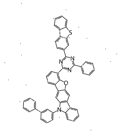 c1ccc(-c2cccc(-n3c4ccccc4c4cc5oc6c(-c7nc(-c8ccccc8)nc(-c8ccc9c(c8)sc8ccccc89)n7)cccc6c5cc43)c2)cc1